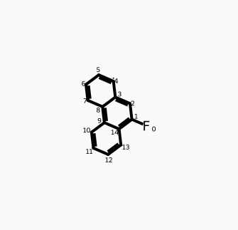 Fc1cc2[c]cccc2c2ccccc12